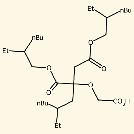 CCCCC(CC)COC(=O)CC(CC(CC)CCCC)(OCC(=O)O)C(=O)OCC(CC)CCCC